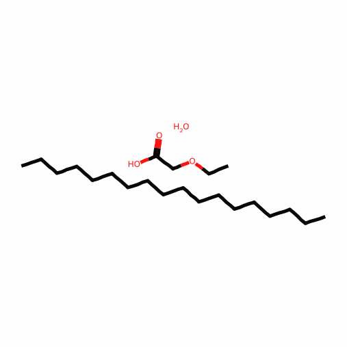 CCCCCCCCCCCCCCCCCC.CCOCC(=O)O.O